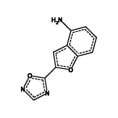 Nc1cccc2oc(-c3ncno3)cc12